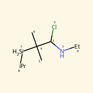 CCNC(Cl)C(C)(C)[SiH2]C(C)C